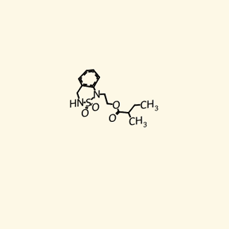 CCC(C)C(=O)OCCN1c2ccccc2CNS1(=O)=O